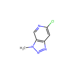 Cn1nnc2cc(Cl)ncc21